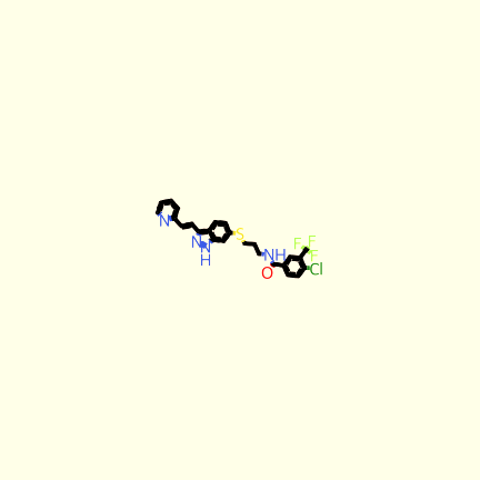 O=C(NCCCSc1ccc2c(C=Cc3ccccn3)n[nH]c2c1)c1ccc(Cl)c(C(F)(F)F)c1